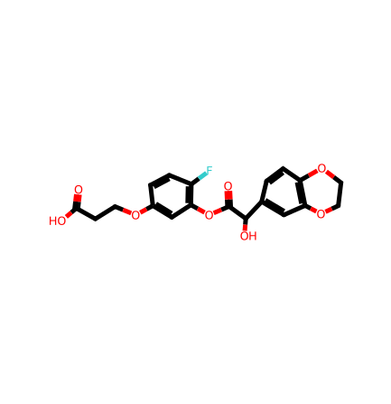 O=C(O)CCOc1ccc(F)c(OC(=O)C(O)c2ccc3c(c2)OCCO3)c1